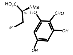 CN[C@@H](CC(C)C)C(=O)O.O=Cc1c(O)cc(O)cc1O